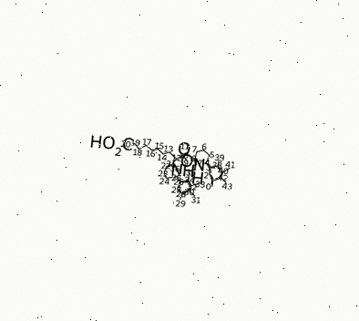 Cc1cc(C2CCCC(OC(=O)C(CCCCCCCC(=O)O)C3CCCC(c4cc(C)c(C)c(C)c4C)N3)N2)c(C)c(C)c1C